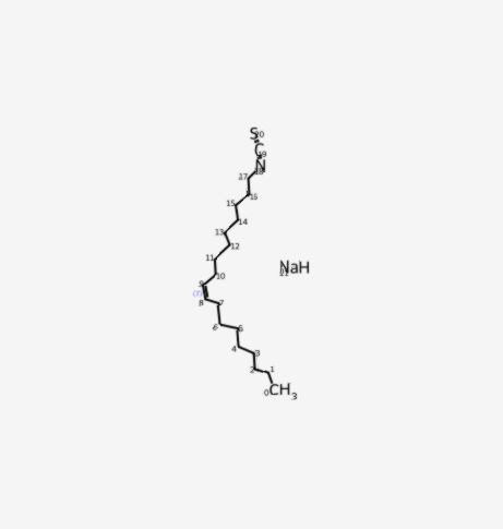 CCCCCCCC/C=C\CCCCCCCCN=C=S.[NaH]